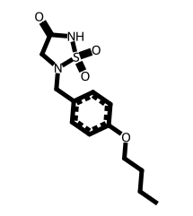 CCCCOc1ccc(CN2CC(=O)NS2(=O)=O)cc1